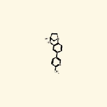 Cc1ccc(-c2ccc3c(c2)N[C@H]2CCN3C2)cn1